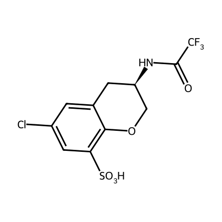 O=C(N[C@H]1COc2c(cc(Cl)cc2S(=O)(=O)O)C1)C(F)(F)F